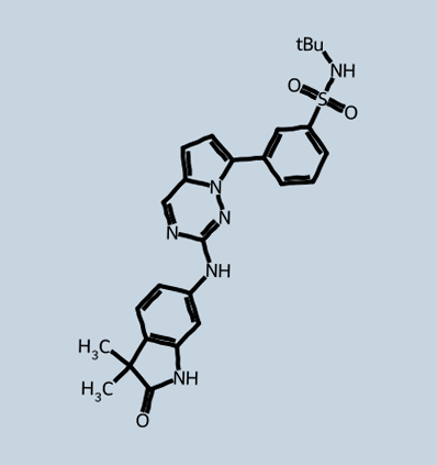 CC(C)(C)NS(=O)(=O)c1cccc(-c2ccc3cnc(Nc4ccc5c(c4)NC(=O)C5(C)C)nn23)c1